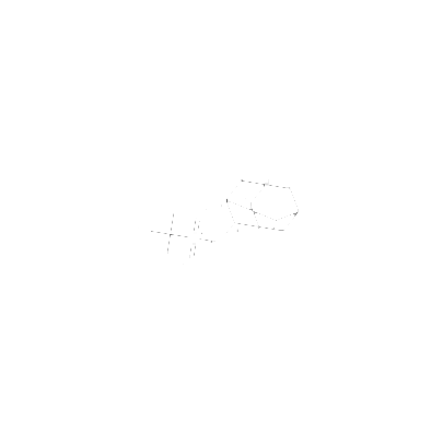 CC(F)(F)S(=O)(=O)OC1C2CC3CC(C2)CC1C3